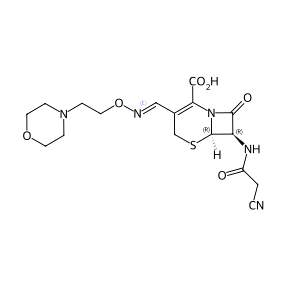 N#CCC(=O)N[C@@H]1C(=O)N2C(C(=O)O)=C(/C=N/OCCN3CCOCC3)CS[C@H]12